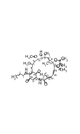 C=CCNC1=C2C[C@@H](C)C[C@H](OC)[C@H](O)[C@@H](C)/C=C(\C)[C@H](OC(=C)N)[C@@H](OC)/C=C\C=C(/C)C(=O)NC(=CC1=O)C2=O